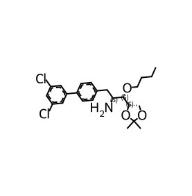 CCCCO[C@H]([C@@H]1COC(C)(C)O1)[C@@H](N)Cc1ccc(-c2cc(Cl)cc(Cl)c2)cc1